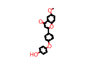 COc1ccc2oc(-c3ccc(Oc4ccc(O)cc4)cc3)cc(=O)c2c1